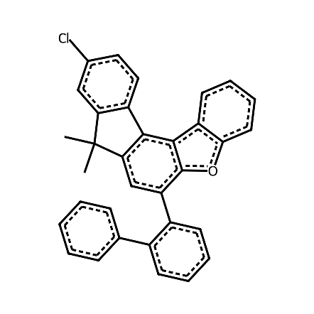 CC1(C)c2cc(Cl)ccc2-c2c1cc(-c1ccccc1-c1ccccc1)c1oc3ccccc3c21